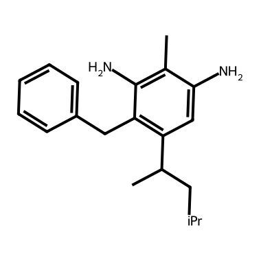 Cc1c(N)cc(C(C)CC(C)C)c(Cc2ccccc2)c1N